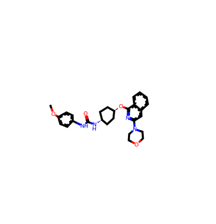 COc1ccc(NC(=O)N[C@H]2CC[C@@H](Oc3nc(N4CCOCC4)cc4ccccc34)CC2)cc1